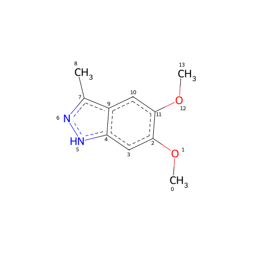 COc1cc2[nH]nc(C)c2cc1OC